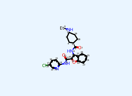 CCN[C@H]1CC[C@H](C(=O)Nc2c(C(=O)Nc3ccc(Cl)cn3)oc3ccccc23)CC1